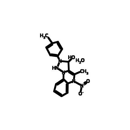 CC1=C2C(O)N(c3ccc(C)cc3)NN2c2ccccc2N1[N+](=O)[O-].O